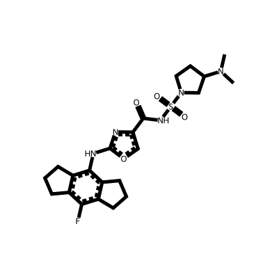 CN(C)C1CCN(S(=O)(=O)NC(=O)c2coc(Nc3c4c(c(F)c5c3CCC5)CCC4)n2)C1